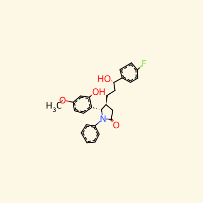 COc1ccc([C@@H]2[C@@H](CC[C@H](O)c3ccc(F)cc3)CC(=O)N2c2ccccc2)c(O)c1